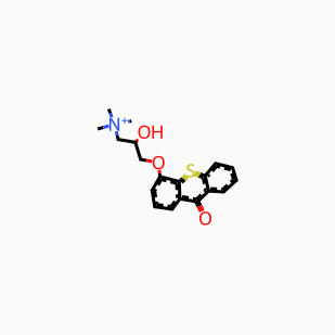 C[N+](C)(C)CC(O)COc1cccc2c(=O)c3ccccc3sc12